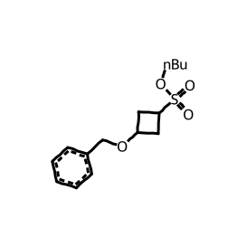 CCCCOS(=O)(=O)C1CC(OCc2ccccc2)C1